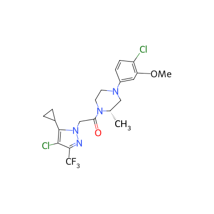 COc1cc(N2CCN(C(=O)Cn3nc(C(F)(F)F)c(Cl)c3C3CC3)[C@@H](C)C2)ccc1Cl